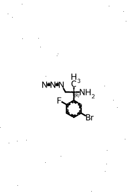 C[C@](N)(CN=[N+]=[N-])c1cc(Br)ccc1F